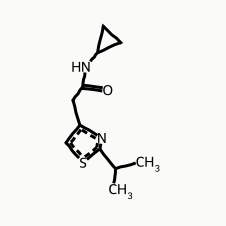 CC(C)c1nc(CC(=O)NC2CC2)cs1